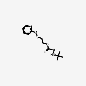 CC(C)(C)NNC(=O)OCCSSc1ccccn1